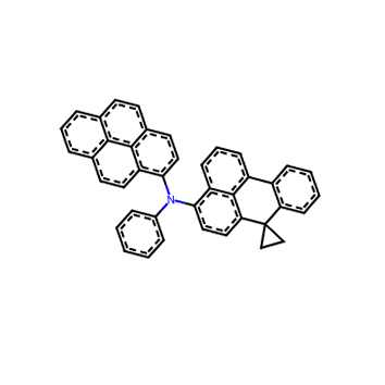 c1ccc(N(c2ccc3c4c(cccc24)-c2ccccc2C32CC2)c2ccc3ccc4cccc5ccc2c3c45)cc1